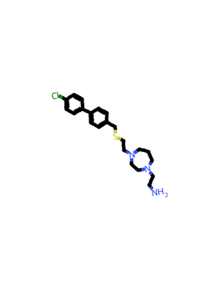 NCCN1CCCN(CCSCc2ccc(-c3ccc(Cl)cc3)cc2)CC1